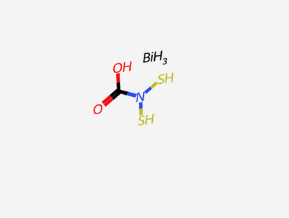 O=C(O)N(S)S.[BiH3]